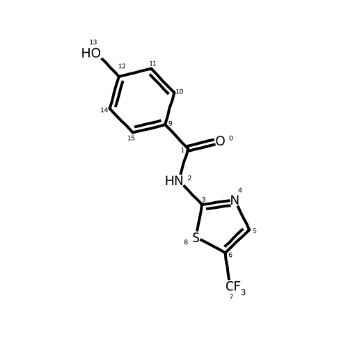 O=C(Nc1ncc(C(F)(F)F)s1)c1ccc(O)cc1